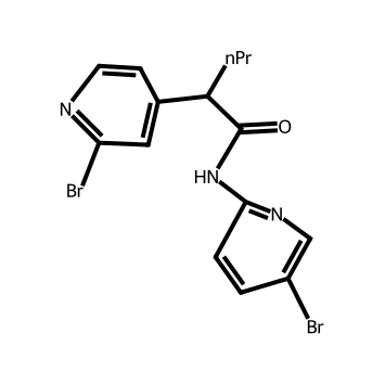 CCCC(C(=O)Nc1ccc(Br)cn1)c1ccnc(Br)c1